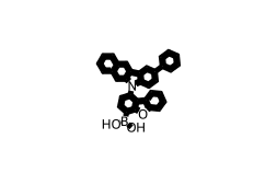 OB(O)c1ccc(-n2c3ccc(-c4ccccc4)cc3c3cc4ccccc4cc32)c2c1oc1ccccc12